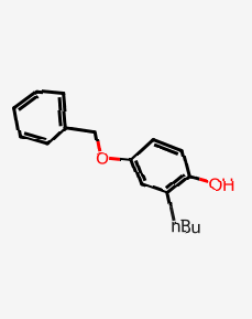 CCCCc1cc(OCc2ccccc2)ccc1O